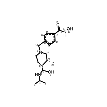 CC(C)NC(O)N1CCN(Cc2ccc(C(=O)NO)cc2)C[C@@H]1C